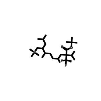 CC(C)CC(C[Si](C)(C)C)C(C)CCC(C)CC(C(=O)OC(C)(C)C)(C(C)C)C(F)(F)F